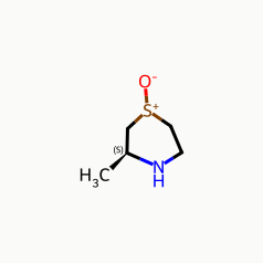 C[C@H]1C[S+]([O-])CCN1